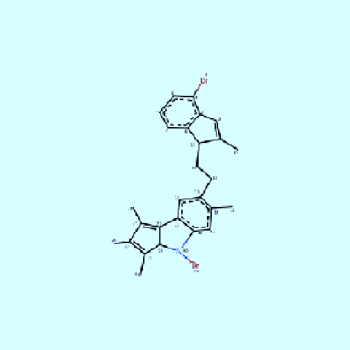 CC1=Cc2c(Br)cccc2C1CCc1cc2c(cc1C)N(Br)C1C(C)=C(C)C(C)=C21